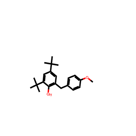 COc1ccc(Cc2cc(C(C)(C)C)cc(C(C)(C)C)c2O)cc1